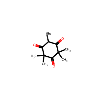 CC1(C)C(=O)C(C(C)(C)C)C(=O)C(C)(C)C1=O